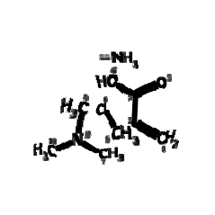 C=CC(=O)O.CCl.CN(C)C.N